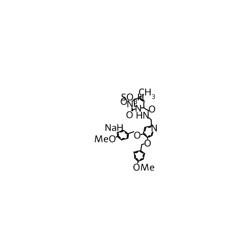 COc1ccc(COc2cnc(CNC(=O)C3C=C(C)C4CN3C(=O)N4OS(=O)(=O)O)cc2OCc2ccc(OC)cc2)cc1.[NaH]